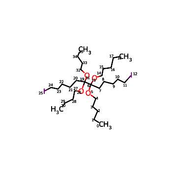 CCCCCOC(CCCCCI)(OCCCCC)C(CCCCCI)(OCCCC)OCCCC